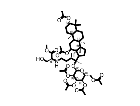 COC(=O)[C@H](CO)NCCC[C@](C)(O[C@H]1O[C@H](COC(C)=O)[C@@H](OC(C)=O)[C@H](OC(C)=O)[C@H]1OC(C)=O)C1CC[C@]2(C)[C@@H]1C(OC(C)=O)CC1[C@@]3(C)CC[C@H](OC(C)=O)C(C)(C)C3CC[C@]12C